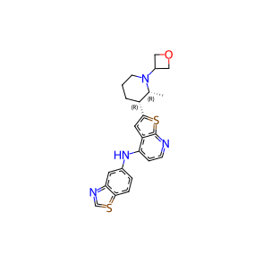 C[C@@H]1[C@H](c2cc3c(Nc4ccc5scnc5c4)ccnc3s2)CCCN1C1COC1